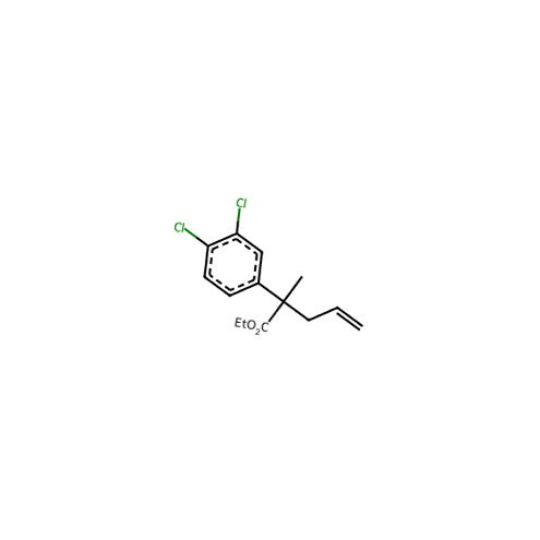 C=CCC(C)(C(=O)OCC)c1ccc(Cl)c(Cl)c1